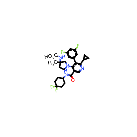 CC1(NC(=O)O)CCN(c2c(C(=O)NC3CCC(F)(F)CC3)cnc(C3CC3)c2-c2cc(F)cc(F)c2)C1